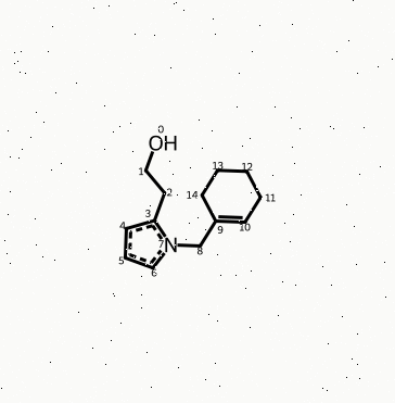 OCCc1cccn1CC1=CCCCC1